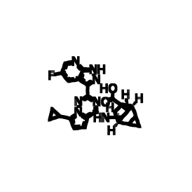 O=C(O)[C@H]1[C@H](Nc2nc(-c3n[nH]c4ncc(F)cc34)nn3c(C4CC4)ccc23)[C@@H]2CC[C@H]1C1CC12